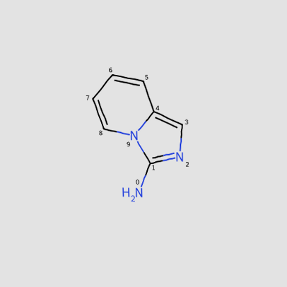 Nc1ncc2ccccn12